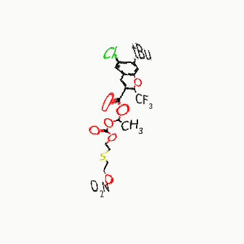 CC(OC(=O)OCCSCCO[N+](=O)[O-])OC(=O)C1=Cc2cc(Cl)c(C(C)(C)C)cc2OC1C(F)(F)F